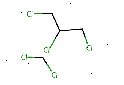 ClCC(Cl)CCl.ClCCl